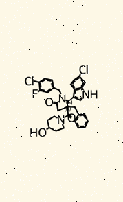 O=C1C[C@@](Cc2ccccc2)(C(=O)N2CCC(O)CC2)[C@H](c2c[nH]c3cc(Cl)ccc23)N1Cc1ccc(Cl)c(F)c1